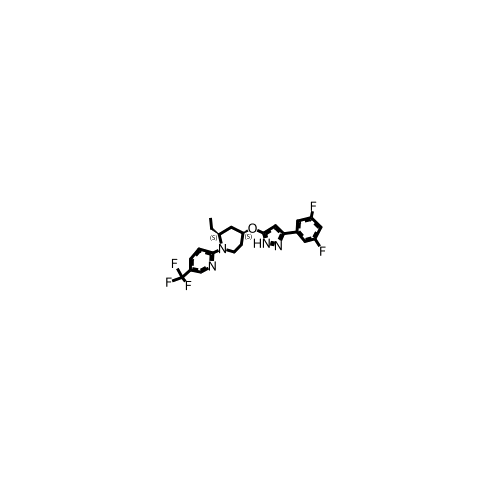 CC[C@H]1C[C@@H](Oc2cc(-c3cc(F)cc(F)c3)n[nH]2)CCN1c1ccc(C(F)(F)F)cn1